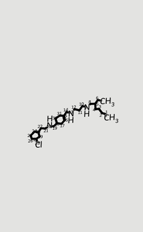 CCCCCC(CC)CNCCCNCC1=CCC(CNCCC2CCCC(Cl)C2)CC1